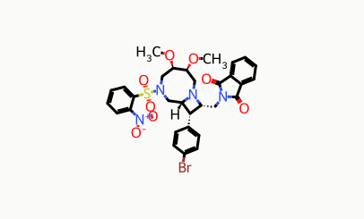 CO[C@H]1CN2[C@H](CN3C(=O)c4ccccc4C3=O)[C@H](c3ccc(Br)cc3)[C@@H]2CN(S(=O)(=O)c2ccccc2[N+](=O)[O-])C[C@H]1OC